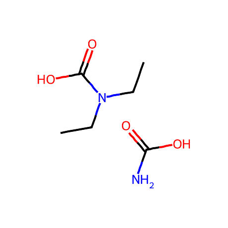 CCN(CC)C(=O)O.NC(=O)O